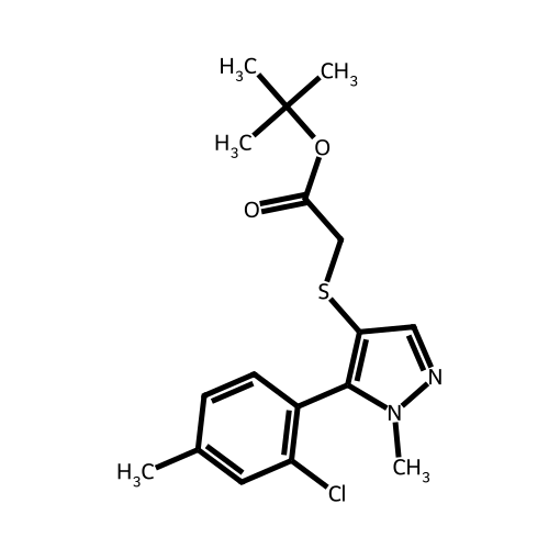 Cc1ccc(-c2c(SCC(=O)OC(C)(C)C)cnn2C)c(Cl)c1